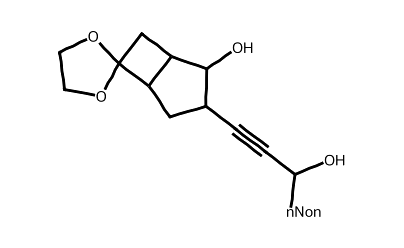 CCCCCCCCCC(O)C#CC1CC2C(CC23OCCO3)C1O